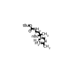 C=C(N)/N=C\N(C)C(C)(CCCC)CCNC(=O)OC(C)(C)C